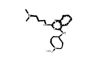 CN(C)CCCNc1nc(NC2CCN(C(=O)O)CC2)c2ccccc2n1